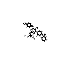 CC(C)(C)OC(=O)N[C@H](Cc1ccc(Cl)cc1)C(=O)NN1CCC(NC2CCCCC2)CC1